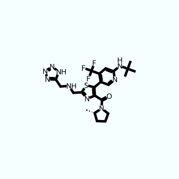 C[C@H]1CCCN1C(=O)c1nc(CNCc2nnn[nH]2)sc1-c1cnc(NC(C)(C)C)cc1C(F)(F)F